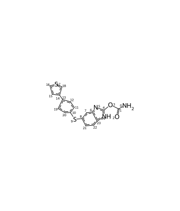 NC(=O)Oc1nc2cc(Sc3ccc(-c4ccsc4)cc3)ccc2[nH]1